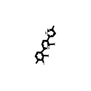 Cc1ccc(-c2ccc(-c3ccc(C)c(I)c3I)nc2I)nn1